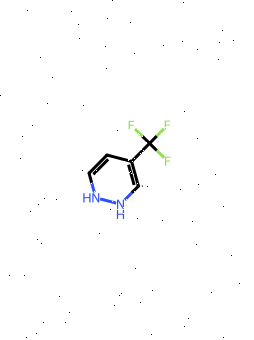 FC(F)(F)C1=[C]NNC=C1